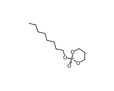 CCCCCCCCOP1(=O)OCCCO1